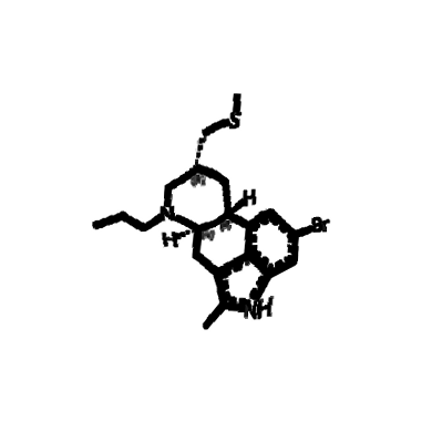 CCCN1C[C@H](CSC)C[C@@H]2c3cc(Br)cc4[nH]c(C)c(c34)C[C@H]21